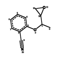 CC(Oc1ccccc1C#N)C1CO1